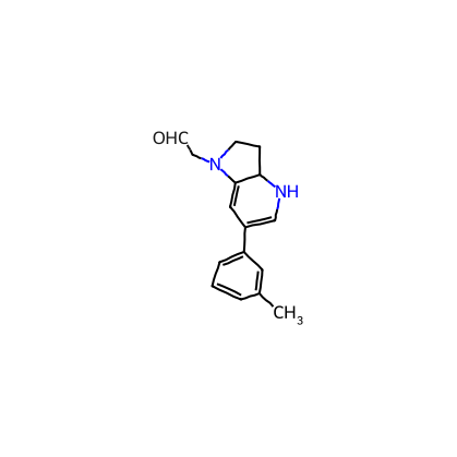 Cc1cccc(C2=CNC3CCN(CC=O)C3=C2)c1